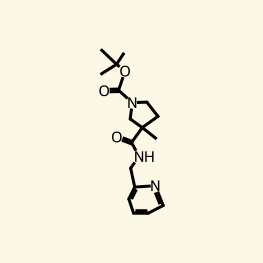 CC(C)(C)OC(=O)N1CCC(C)(C(=O)NCc2ccccn2)C1